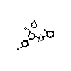 CCc1ccc(C2CC(c3nc(-c4ccccc4F)co3)CN(C(=O)N3CCCC3)C2)cc1